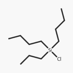 CCCC[Si](Cl)(CCC)CCCC